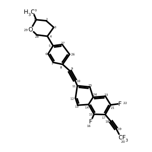 CC1CCC(c2ccc(C#Cc3ccc4c(F)c(C#CC(F)(F)F)c(F)cc4c3)cc2)CO1